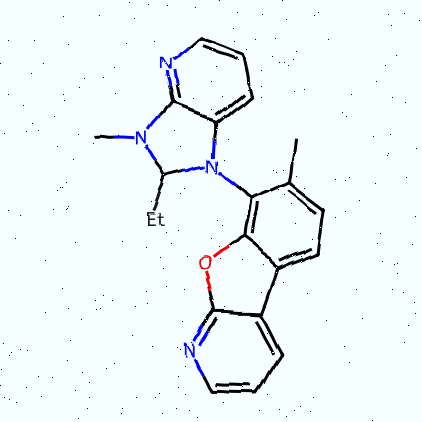 CCC1N(C)c2ncccc2N1c1c(C)ccc2c1oc1ncccc12